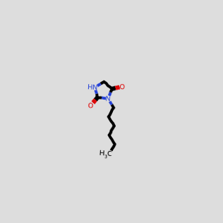 CCCCCCN1C(=O)CNC1=O